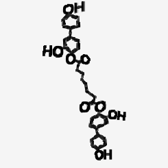 O=C(CCCCCCC(=O)Oc1ccc(-c2ccc(O)cc2)cc1O)Oc1ccc(-c2ccc(O)cc2)cc1O